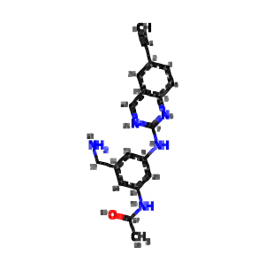 C#Cc1ccc2nc(Nc3cc(CN)cc(NC(C)=O)c3)ncc2c1